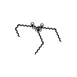 CCCCC/C=C\C/C=C\CCCCCCCC(=O)OC[C@@H](COC(=O)CCCCCCC/C=C\CCCCCCCC)OC(=O)CCCCCCC/C=C\CCCCCCCC